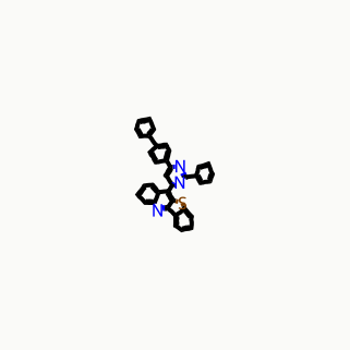 c1ccc(-c2ccc(-c3cc(-c4c5ccccc5nc5c4sc4ccccc45)nc(-c4ccccc4)n3)cc2)cc1